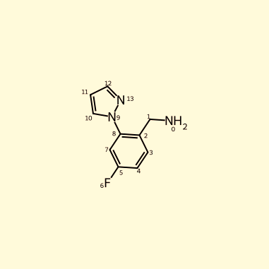 NCc1ccc(F)cc1-n1cccn1